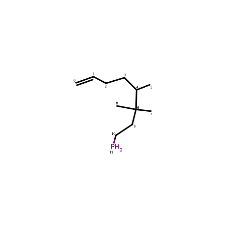 C=CCCC(C)C(C)(C)CCP